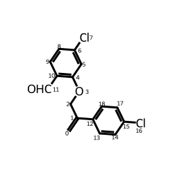 C=C(COc1cc(Cl)ccc1C=O)c1ccc(Cl)cc1